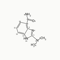 CN(C)c1nc2c(C(N)=O)cccc2[nH]1